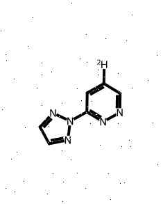 [2H]c1cnnc(-n2nccn2)c1